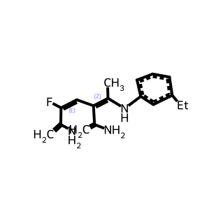 C=C(N)C(/C=C(/F)C(=C)N)=C(/C)Nc1cccc(CC)c1